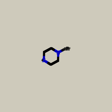 CCCN1CC[N]CC1